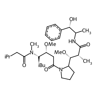 CC[C@H](C)[C@@H]([C@@H](CC(=O)N1CCCC1[C@H](OC)[C@@H](C)C(=O)NC(C)[C@@H](O)c1ccccc1)OC)N(C)C(=O)CC(C)C